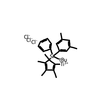 CC1=C(C)C(C)([Si](c2ccccc2)(c2cc(C)cc(C)c2)C(C)(C)C)[C]([Ti+3])=C1C.[Cl-].[Cl-].[Cl-]